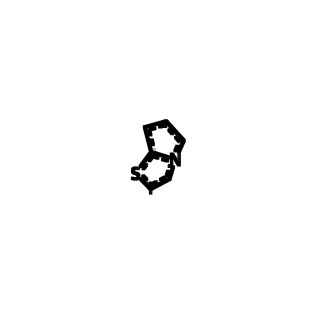 [c]1cn2cccc2s1